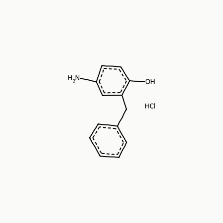 Cl.Nc1ccc(O)c(Cc2ccccc2)c1